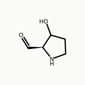 O=C[C@@H]1NCCC1O